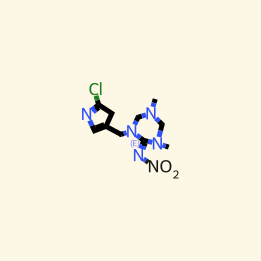 CN1CN(C)/C(=N\[N+](=O)[O-])N(CC2=CN=C(Cl)C2)C1